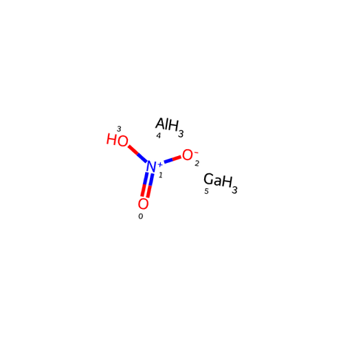 O=[N+]([O-])O.[AlH3].[GaH3]